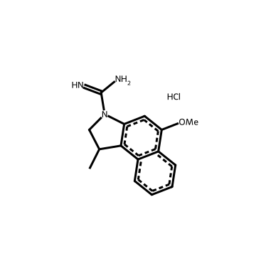 COc1cc2c(c3ccccc13)C(C)CN2C(=N)N.Cl